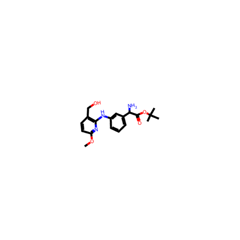 COc1ccc(CO)c(Nc2cccc(C(N)C(=O)OC(C)(C)C)c2)n1